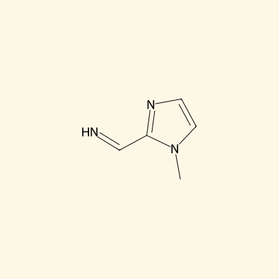 Cn1ccnc1C=N